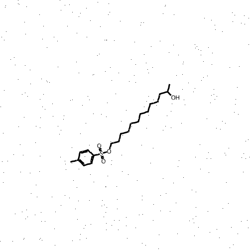 Cc1ccc(S(=O)(=O)OCCCCCCCCCCCC(C)O)cc1